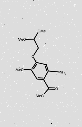 COC(=O)c1cc(OC)c(OCC(OC)OC)cc1N